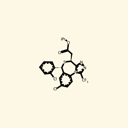 CC(C)OC(=O)C[C@@H]1S[C@@H](c2ccccc2Cl)c2cc(Cl)ccc2-n2c1nnc2C(F)(F)F